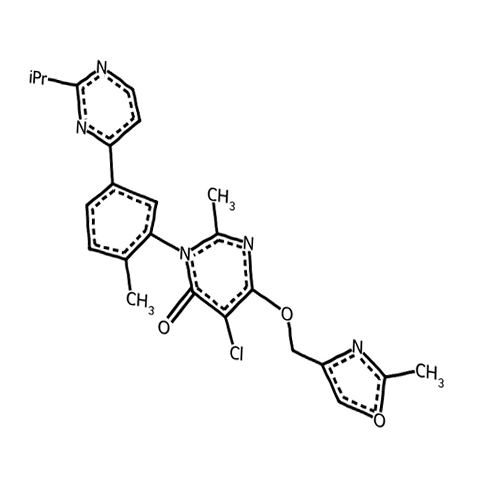 Cc1nc(COc2nc(C)n(-c3cc(-c4ccnc(C(C)C)n4)ccc3C)c(=O)c2Cl)co1